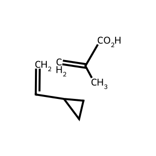 C=C(C)C(=O)O.C=CC1CC1